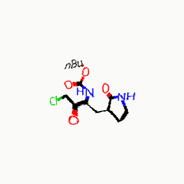 CCCCOC(=O)N[C@@H](C[C@@H]1CCNC1=O)C(=O)CCl